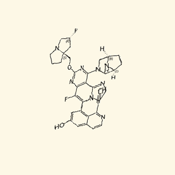 C#Cc1nccc2cc(O)cc(C3=C(F)c4nc(OC[C@@]56CCCN5C[C@H](F)C6)nc(N5C[C@H]6CC[C@@H](C5)N6)c4C4=NCCN43)c12